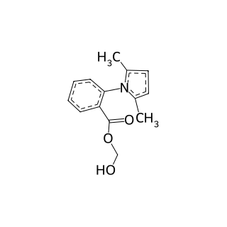 Cc1ccc(C)n1-c1ccccc1C(=O)OCO